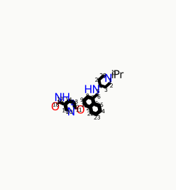 CC(C)N1CCC(NCc2ccc(Oc3ccc(C(N)=O)cn3)c3ccccc23)CC1